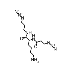 [N-]=[N+]=NCCCNC(=O)[C@H](CCCCN)NC(=O)CCN=[N+]=[N-]